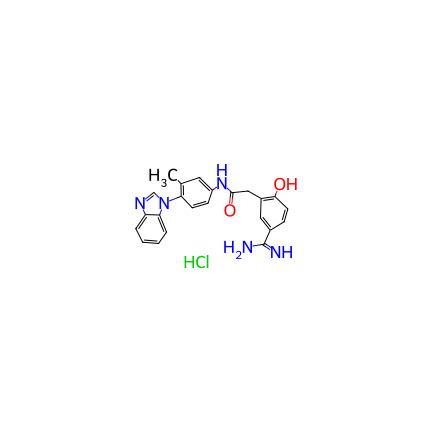 Cc1cc(NC(=O)Cc2cc(C(=N)N)ccc2O)ccc1-n1cnc2ccccc21.Cl